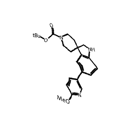 COc1ccc(-c2ccc3c(c2)C2(CCN(C(=O)OC(C)(C)C)CC2)CN3)cn1